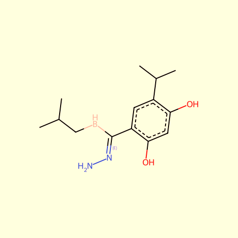 CC(C)CB/C(=N\N)c1cc(C(C)C)c(O)cc1O